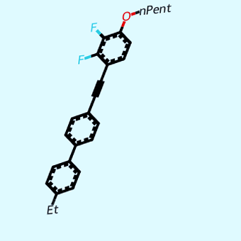 CCCCCOc1ccc(C#Cc2ccc(-c3ccc(CC)cc3)cc2)c(F)c1F